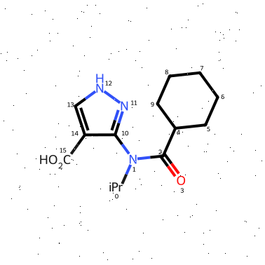 CC(C)N(C(=O)C1CCCCC1)c1n[nH]cc1C(=O)O